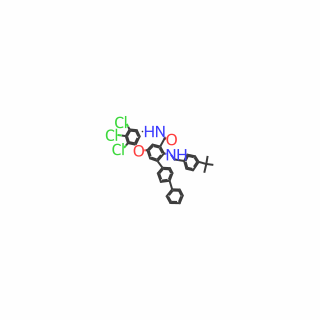 CC(C)(C)c1ccc(CNc2c(C([NH])=O)cc(Oc3ccc(Cl)c(Cl)c3Cl)cc2-c2ccc(-c3ccccc3)cc2)cc1